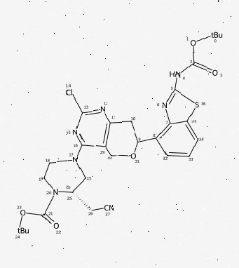 CC(C)(C)OC(=O)Nc1nc2c(C3Cc4nc(Cl)nc(N5CCN(C(=O)OC(C)(C)C)[C@@H](CC#N)C5)c4CO3)cccc2s1